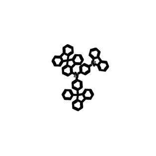 c1ccc(C2(c3ccc(N(c4ccc(-n5c6ccccc6c6ccccc65)cc4)c4cccc5c4-c4ccccc4C54c5ccccc5-c5ccccc54)cc3)c3ccccc3-c3ccccc32)cc1